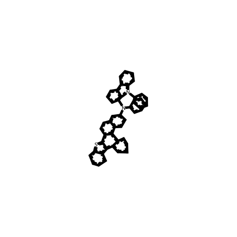 c1ccc(N(c2ccc3c(ccc4c5sc6ccccc6c5c5ccccc5c34)c2)c2cccc3c4ccccc4n(-c4ccccc4)c23)cc1